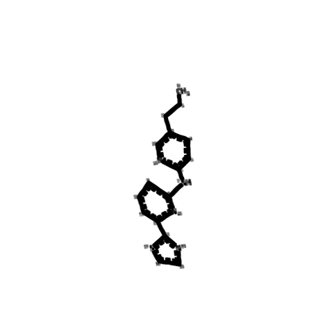 CCCc1ccc(Nc2cccc(-c3nccs3)n2)nc1